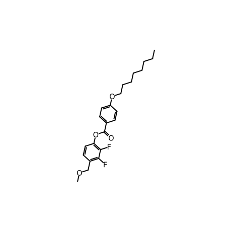 CCCCCCCCOc1ccc(C(=O)Oc2ccc(COC)c(F)c2F)cc1